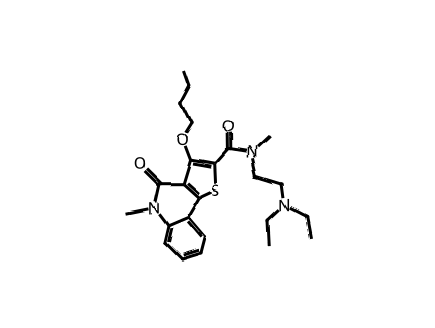 CCCCOc1c(C(=O)N(C)CCN(CC)CC)sc2c1c(=O)n(C)c1ccccc21